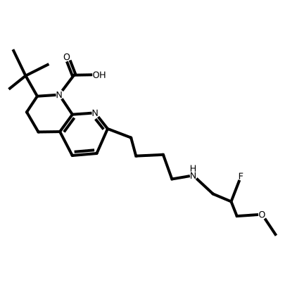 COCC(F)CNCCCCc1ccc2c(n1)N(C(=O)O)C(C(C)(C)C)CC2